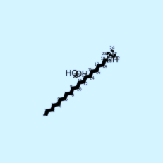 CCCCCCCCCCCCCCCCCCCCN[N+](C)(C)C.CO.[OH-]